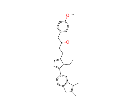 CCC1C(CCC(=O)Cc2ccc(OC)cc2)=CC=C1c1ccc2c(c1)C(C)=C(C)C2